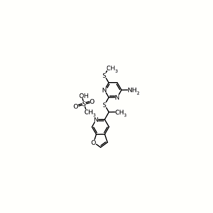 CS(=O)(=O)O.CSc1cc(N)nc(SC(C)c2cc3ccoc3cn2)n1